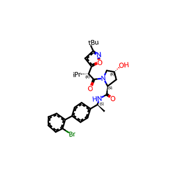 CC(C)[C@@H](C(=O)N1C[C@H](O)C[C@H]1C(=O)N[C@@H](C)c1ccc(-c2ccccc2Br)cc1)c1cc(C(C)(C)C)no1